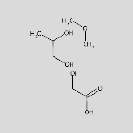 CC(O)CO.COC.O=C(O)CO